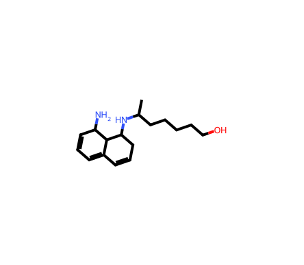 CC(CCCCCO)NC1CC=CC2=CC=CC(N)C21